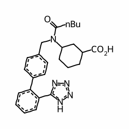 CCCCC(=O)N(Cc1ccc(-c2ccccc2-c2nnn[nH]2)cc1)C1CCCC(C(=O)O)C1